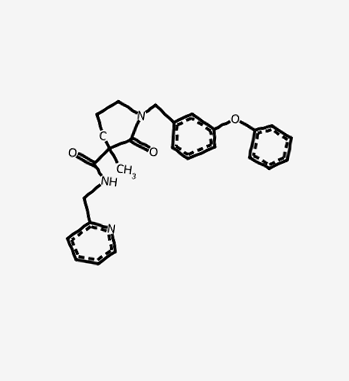 CC1(C(=O)NCc2ccccn2)CCCN(Cc2cccc(Oc3ccccc3)c2)C1=O